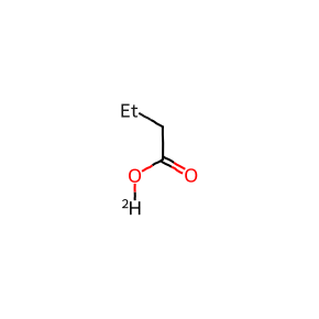 [2H]OC(=O)CCC